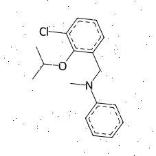 CC(C)Oc1c(Cl)cccc1CN(C)c1ccccc1